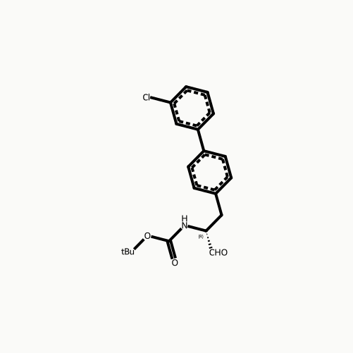 CC(C)(C)OC(=O)N[C@@H](C=O)Cc1ccc(-c2cccc(Cl)c2)cc1